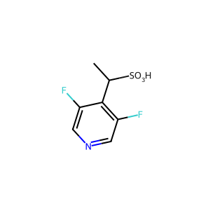 CC(c1c(F)cncc1F)S(=O)(=O)O